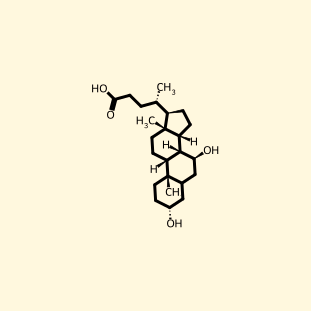 C[C@@H](CCC(=O)O)[C@H]1CC[C@@H]2[C@H]3[C@@H](CC[C@@]21C)[C@@]1(C)CC[C@@H](O)CC1C[C@@H]3O